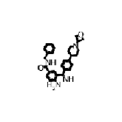 N=C(c1ccc(C2CCN(C3COC3)CC2)cc1)c1cc(C(=O)NCc2ccccc2)ccc1N